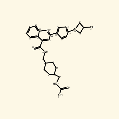 O=C(O)NCC1CCC(CNC(=O)c2cc(-c3ccc(N4CC(O)C4)nc3)nc3ccccc23)CC1